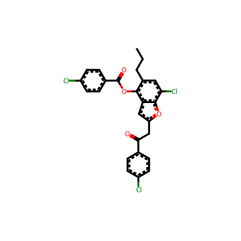 CCCc1cc(Cl)c2oc(CC(=O)c3ccc(Cl)cc3)cc2c1OC(=O)c1ccc(Cl)cc1